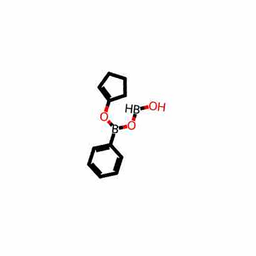 OBOB(OC1=CCCC1)c1ccccc1